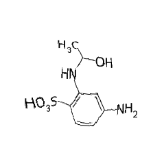 CC(O)Nc1cc(N)ccc1S(=O)(=O)O